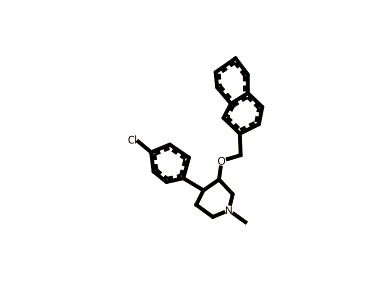 CN1CCC(c2ccc(Cl)cc2)C(OCc2ccc3ccccc3c2)C1